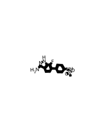 CS(=O)(=O)Nc1ccc(-c2ccc3c(N)n[nH]c3c2F)cc1